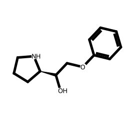 OC(COc1ccccc1)[C@H]1CCCN1